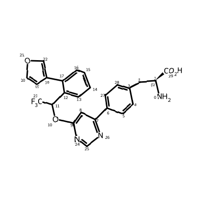 N[C@@H](Cc1ccc(-c2cc(OC(c3ccccc3-c3ccoc3)C(F)(F)F)ncn2)cc1)C(=O)O